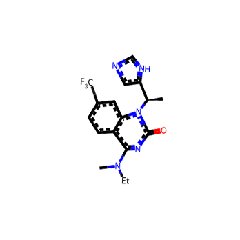 CCN(C)c1nc(=O)n([C@H](C)c2cnc[nH]2)c2cc(C(F)(F)F)ccc12